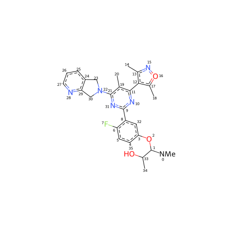 CNC(Oc1ccc(F)c(-c2nc(-c3c(C)noc3C)c(C)c(N3Cc4cccnc4C3)n2)c1)C(C)O